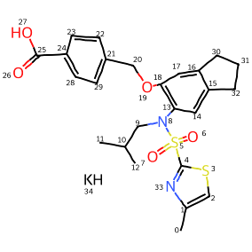 Cc1csc(S(=O)(=O)N(CC(C)C)c2cc3c(cc2OCc2ccc(C(=O)O)cc2)CCC3)n1.[KH]